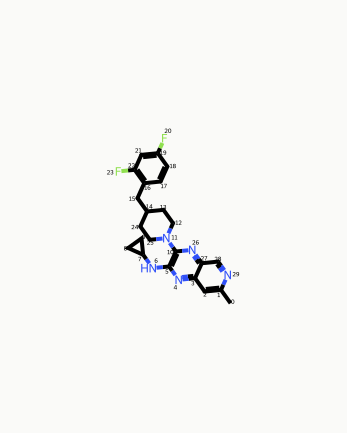 Cc1cc2nc(NC3CC3)c(N3CCC(Cc4ccc(F)cc4F)CC3)nc2cn1